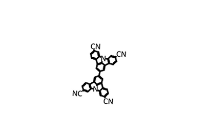 N#Cc1ccc2c3cc(-c4cc5c6ccc(C#N)cc6n6c7cc(C#N)ccc7c(c4)c56)cc4c5ccc(C#N)cc5n(c2c1)c34